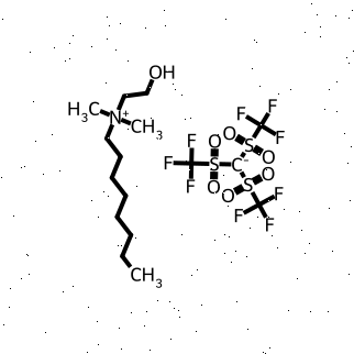 CCCCCCCC[N+](C)(C)CCO.O=S(=O)([C-](S(=O)(=O)C(F)(F)F)S(=O)(=O)C(F)(F)F)C(F)(F)F